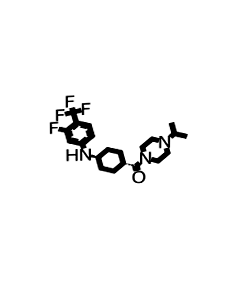 CC(C)N1CCN(C(=O)[C@H]2CC[C@H](Nc3ccc(C(F)(F)F)c(F)c3)CC2)CC1